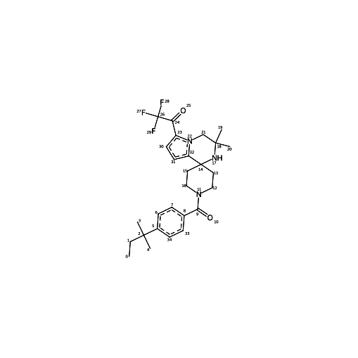 CCC(C)(C)c1ccc(C(=O)N2CCC3(CC2)NC(C)(C)Cn2c(C(=O)C(F)(F)F)ccc23)cc1